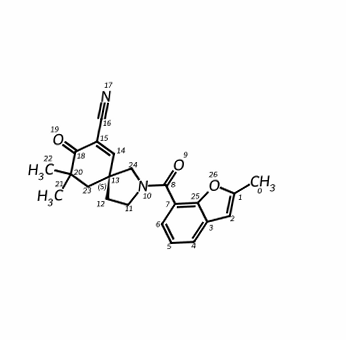 Cc1cc2cccc(C(=O)N3CC[C@@]4(C=C(C#N)C(=O)C(C)(C)C4)C3)c2o1